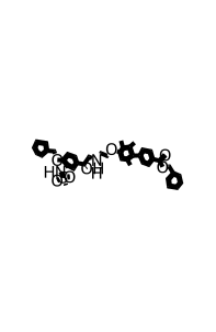 Cc1cc(OCCNC[C@H](O)c2ccc(OCc3ccccc3)c(NS(C)(=O)=O)c2)c(C)c(C)c1-c1ccc(C(=O)OCc2ccccc2)cc1